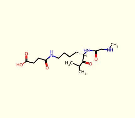 CNCC(=O)N[C@@H](CCCCNC(=O)CCC(=O)O)C(=O)C(C)C